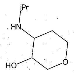 CC(C)NC1CCOCC1O